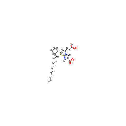 CCCCCCCCCCCCc1ccccc1C(CCCCC(=O)O)Sc1ncc(C(=O)O)n1C